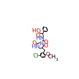 COc1ccc(Cl)cc1CC1CNC(=O)CN(C(=O)NCC(C(=O)O)c2ccccc2)C1=O